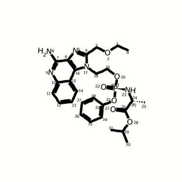 CCOCc1nc2c(N)nc3ccccc3c2n1CCO[P@](=O)(N[C@H](C)C(=O)OC(C)C)Oc1ccccc1